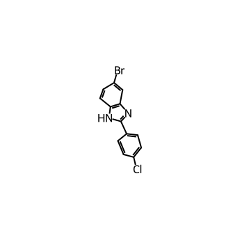 Clc1ccc(-c2nc3cc(Br)ccc3[nH]2)cc1